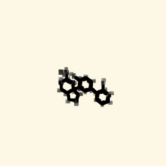 NC1=NC2(c3cc(-c4cccnc4F)ccc3F)COCC2CO1